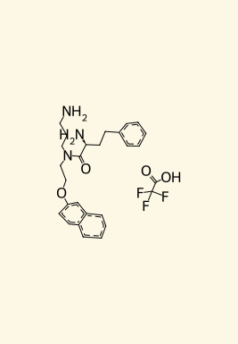 NCCCN(CCOc1ccc2ccccc2c1)C(=O)[C@@H](N)CCc1ccccc1.O=C(O)C(F)(F)F